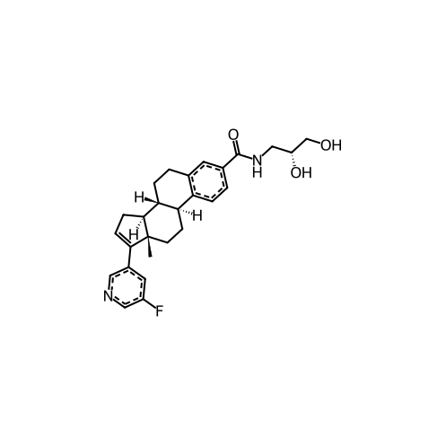 C[C@]12CC[C@@H]3c4ccc(C(=O)NC[C@@H](O)CO)cc4CC[C@H]3[C@@H]1CC=C2c1cncc(F)c1